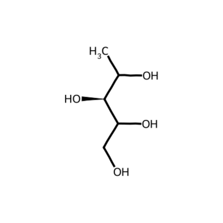 CC(O)[C@H](O)C(O)CO